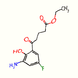 CCOC(=O)CCCC(=O)c1cc(F)cc(N)c1O